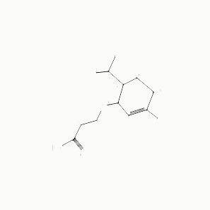 CC1=CC(SCCC(=O)O)C(C(C)C)CC1